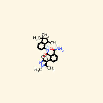 Cc1nn(C)c(C)c1-c1cccc(C(N)=O)c1C(=O)Nc1cccc2c1C(C)CC2(C)C